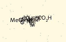 COC(=O)N1CCc2ccc3c(nc(C4CCCCC4)n3[C@@H](C)C[C@H]3CC[C@H](C(=O)O)CC3)c2C1